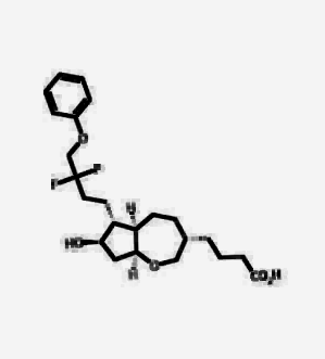 O=C(O)CCC[C@H]1CC[C@@H]2[C@@H](CCC(F)(F)COc3ccccc3)[C@H](O)C[C@@H]2OC1